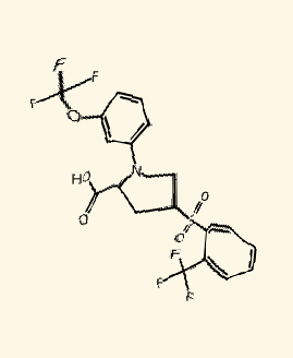 O=C(O)C1CC(S(=O)(=O)c2ccccc2C(F)(F)F)CN1c1cccc(OC(F)(F)F)c1